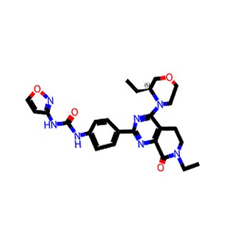 CC[C@H]1COCCN1c1nc(-c2ccc(NC(=O)Nc3ccon3)cc2)nc2c1CCN(CC)C2=O